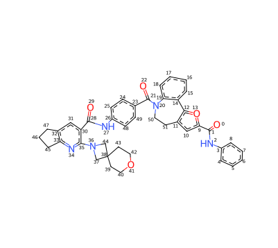 O=C(Nc1ccccc1)c1cc2c(o1)-c1ccccc1N(C(=O)c1ccc(NC(=O)c3cc4c(nc3N3CC5(CCOCC5)C3)CCC4)cc1)CC2